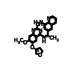 COc1cc2nc(C)nc(N[C@@H](C)c3cc(N)c4ncccc4c3)c2cc1O[C@H]1CCOC1